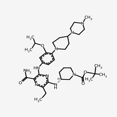 CCc1nc(C(N)=O)c(Nc2ccc(N3CCC(N4CCN(C)CC4)CC3)c(OC(C)C)c2)nc1N[C@@H]1CCCN(C(=O)OC(C)(C)C)C1